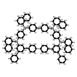 c1ccc(-c2cc(-c3ccccc3)cc(N(c3ccc(N(c4ccc(-c5ccc(N(c6ccc(N(c7cc(-c8ccccc8)cc(-c8ccccc8)c7)c7cccc8ccccc78)cc6)c6cccc7ccccc67)cc5)cc4)c4cccc5ccccc45)cc3)c3cccc4ccccc34)c2)cc1